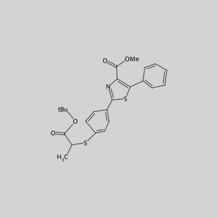 COC(=O)c1nc(-c2ccc(SC(C)C(=O)OC(C)(C)C)cc2)sc1-c1ccccc1